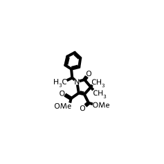 COC(=O)C1=C(C(=O)OC)C(C)(C)C(=O)N1C(C)c1ccccc1